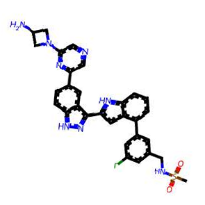 CS(=O)(=O)NCc1cc(F)cc(-c2cccc3[nH]c(-c4n[nH]c5ccc(-c6cncc(N7CC(N)C7)n6)cc45)cc23)c1